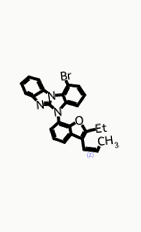 C/C=C\c1c(CC)oc2c(-n3c4cccc(Br)c4n4c5ccccc5nc34)cccc12